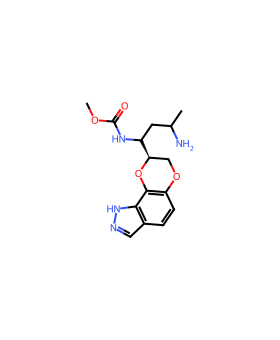 COC(=O)NC(CC(C)N)[C@H]1COc2ccc3cn[nH]c3c2O1